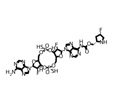 Nc1ncnc2c1ncn2[C@@H]1OC2CO[P@@](=O)(S)O[C@@H]3C(CO[P@](=O)(S)O[C@H]2[C@H]1F)O[C@@H](n1cnc2c(NC(=O)OC[C@@H]4C[C@H](F)CN4)ncnc21)[C@@H]3F